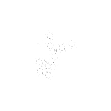 CC1(C)c2ccccc2-c2cc(N(c3ccc(-c4ccccc4)cc3)c3ccc(-c4cccc5c4-c4oc6ccccc6c4C5(c4ccccc4)c4ccccc4)cc3)ccc21